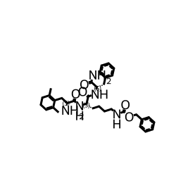 CC1=CCCC(C)=C1C[C@H](N)C(=O)N[C@@H](CCCCNC(=O)OCc1ccccc1)C(=O)N[C@@H](Cc1ccccc1)C(N)=O